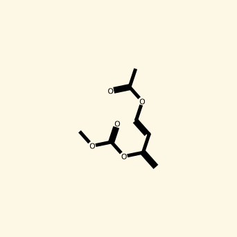 C=C(C=COC(C)=O)OC(=O)OC